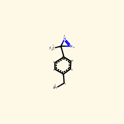 CC(C)Cc1ccc(C2(C(F)(F)F)N=N2)cc1